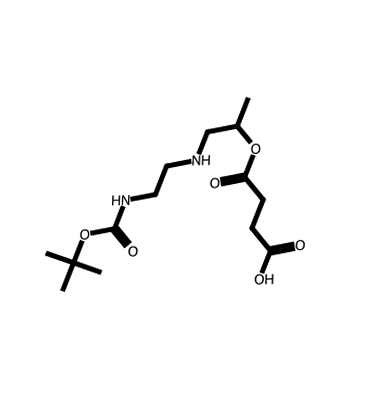 CC(CNCCNC(=O)OC(C)(C)C)OC(=O)CCC(=O)O